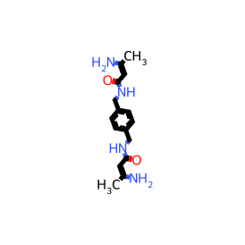 C/C(N)=C/C(=O)NCc1ccc(CNC(=O)/C=C(/C)N)cc1